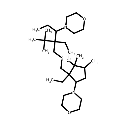 CCC(N1CCOCC1)C(CC)(CSCC1(CC)C(N2CCOCC2)CC(C)C1(C)C)C(C)(C)C